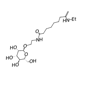 C=C(CCCCCCC(=O)NCCO[C@H]1O[C@H](CO)[C@@H](O)[C@H](O)[C@@H]1O)NCC